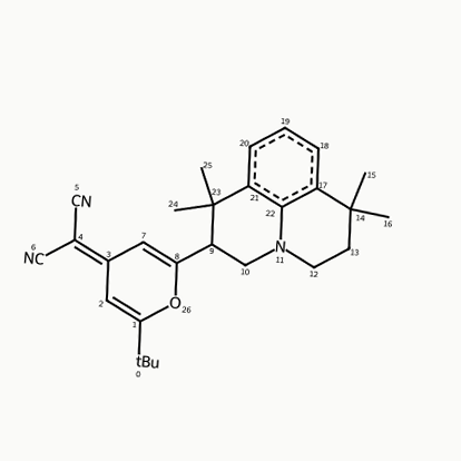 CC(C)(C)C1=CC(=C(C#N)C#N)C=C(C2CN3CCC(C)(C)c4cccc(c43)C2(C)C)O1